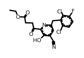 CCOC(=O)CCC(=O)c1nc(Cc2c(Cl)ccc(F)c2Cl)cc(C#N)c1O